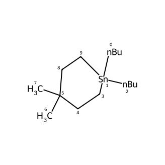 CCC[CH2][Sn]1([CH2]CCC)[CH2]CC(C)(C)C[CH2]1